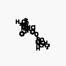 CC1(Oc2ncnc3c2nc(-c2ccc(OCCN4CCNC(C)(C)C4=O)cc2Cl)n3Cc2ccccc2)CC1